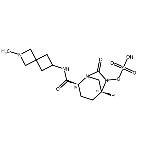 CN1CC2(CC(NC(=O)[C@@H]3CC[C@@H]4CN3C(=O)N4OS(=O)(=O)O)C2)C1